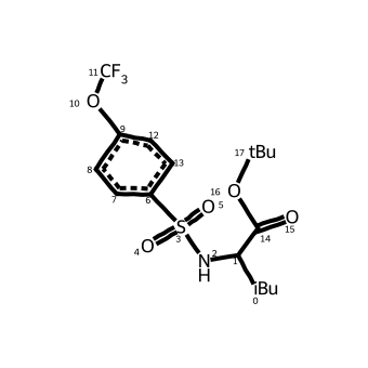 CCC(C)C(NS(=O)(=O)c1ccc(OC(F)(F)F)cc1)C(=O)OC(C)(C)C